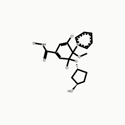 COC1([n+]2ccccc2)C(Cl)=CC(C(=O)N[O-])=CC1(Cl)O[C@@H]1CC[C@@H](O)C1